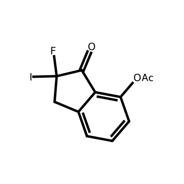 CC(=O)Oc1cccc2c1C(=O)C(F)(I)C2